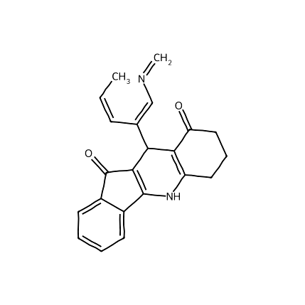 C=N/C=C(\C=C/C)C1C2=C(CCCC2=O)NC2=C1C(=O)c1ccccc12